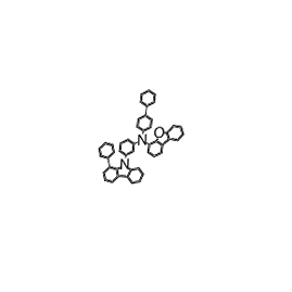 c1ccc(-c2ccc(N(c3cccc(-n4c5ccccc5c5cccc(-c6ccccc6)c54)c3)c3cccc4c3oc3ccccc34)cc2)cc1